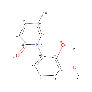 COc1cccc(-n2cc(C)ccc2=O)c1OC